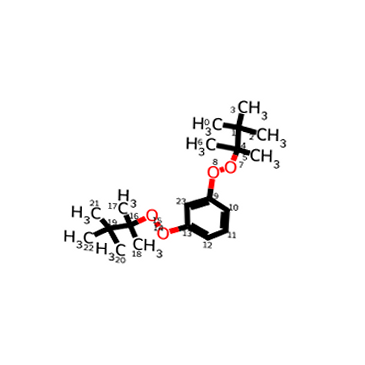 CC(C)(C)C(C)(C)OOc1cccc(OOC(C)(C)C(C)(C)C)c1